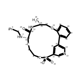 CC(C)CN[C@H]1CCCCS(=O)(=O)c2cncc(c2)-c2ccccc2OC[C@@H](C)NC1=O